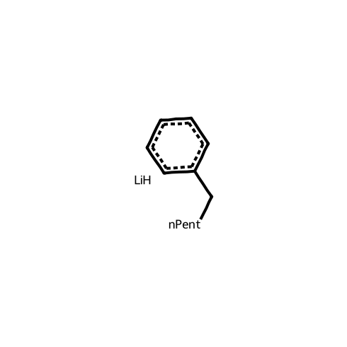 CCCCCCc1ccccc1.[LiH]